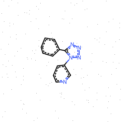 c1ccc(-c2nnnn2-c2cccnc2)cc1